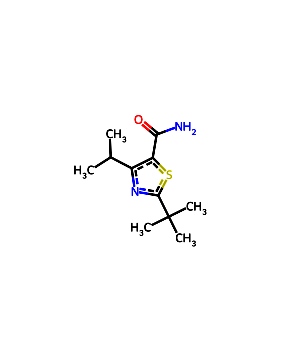 CC(C)c1nc(C(C)(C)C)sc1C(N)=O